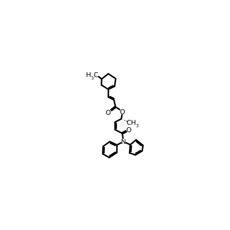 CC1CCC=C(/C=C/C(=O)O[C@H](C)/C=C\C(=O)N(c2ccccc2)c2ccccc2)C1